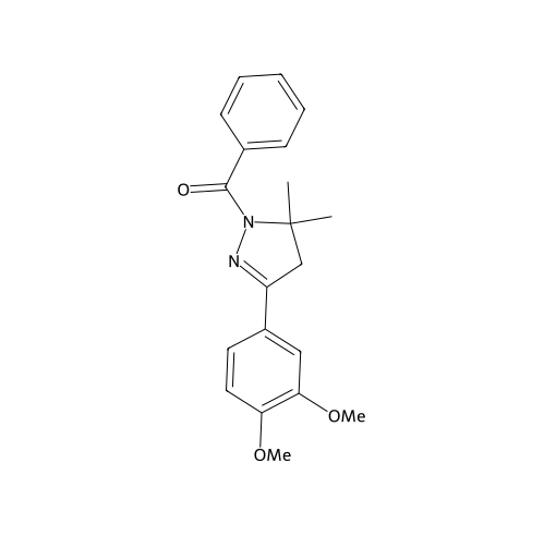 COc1ccc(C2=NN(C(=O)c3ccccc3)C(C)(C)C2)cc1OC